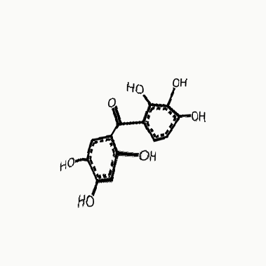 O=C(c1cc(O)c(O)cc1O)c1ccc(O)c(O)c1O